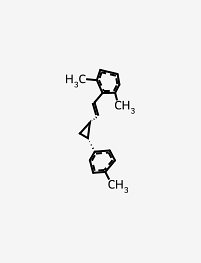 Cc1ccc([C@@H]2C[C@@H]2/C=C/c2c(C)cccc2C)cc1